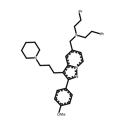 COc1ccc(-c2nn3ccc(CN(CCC(C)C)CCC(C)C)cc3c2CCCN2CCCCC2)cc1